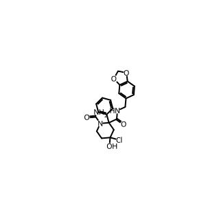 NC(=O)N1CCC(O)(Cl)CC1(C(=O)NCc1ccc2c(c1)OCO2)c1ccccc1